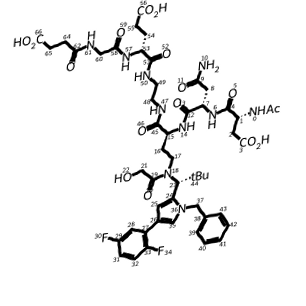 CC(=O)N[C@H](CC(=O)O)C(=O)N[C@@H](CC(N)=O)C(=O)N[C@@H](CCN(C(=O)CO)[C@@H](c1cc(-c2cc(F)ccc2F)cn1Cc1ccccc1)C(C)(C)C)C(=O)NCCNC(=O)[C@@H](CCC(=O)O)NC(=O)CNC(=O)CCC(=O)O